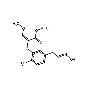 COC=C(Oc1cc(CC=NO)ccc1C)C(=O)OC